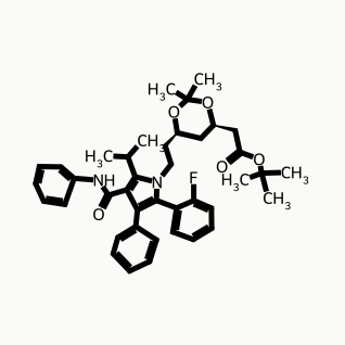 CC(C)c1c(C(=O)Nc2ccccc2)c(-c2ccccc2)c(-c2ccccc2F)n1CC[C@@H]1C[C@H](CC(=O)OC(C)(C)C)OC(C)(C)O1